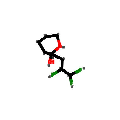 O[Si]1(CC(F)C(F)F)CCCCO1